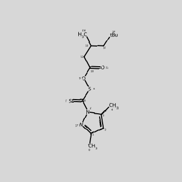 Cc1cc(C)n(C(=S)SOC(=O)CC(C)CC(C)(C)C)n1